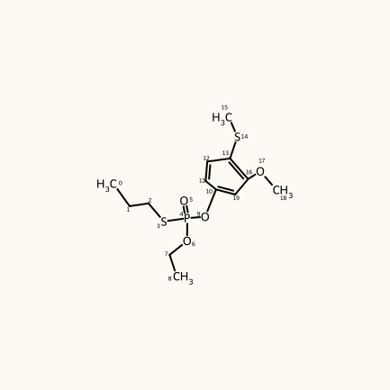 CCCSP(=O)(OCC)Oc1ccc(SC)c(OC)c1